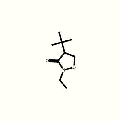 CCN1OCC(C(C)(C)C)C1=O